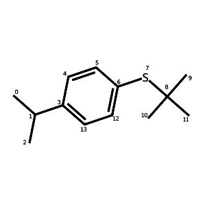 CC(C)c1ccc(SC(C)(C)C)cc1